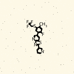 Cc1cc(F)c(-c2cnc3nc(-c4cccnc4)sc3c2)cc1SCC(F)(F)F